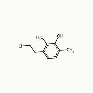 Cc1ccc(CCCl)c(C)c1O